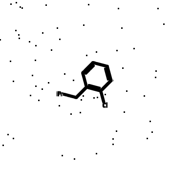 CC(C)Cc1ccc[c]c1Cl